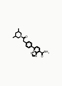 CC1CC(C)CN(C(=O)Cc2ccc(-c3ccc(C(N)=O)c4n[c]nn34)cc2)C1